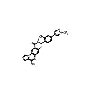 CN(Cc1ccc(-c2cnn(C(F)(F)F)c2)cc1Cl)C(=O)c1cc2c(cc1F)nc(N)c1cncn12